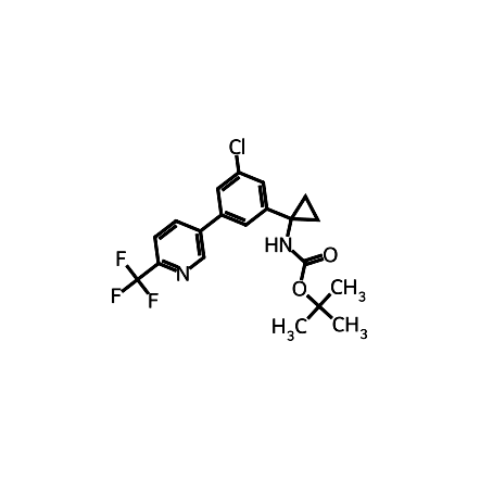 CC(C)(C)OC(=O)NC1(c2cc(Cl)cc(-c3ccc(C(F)(F)F)nc3)c2)CC1